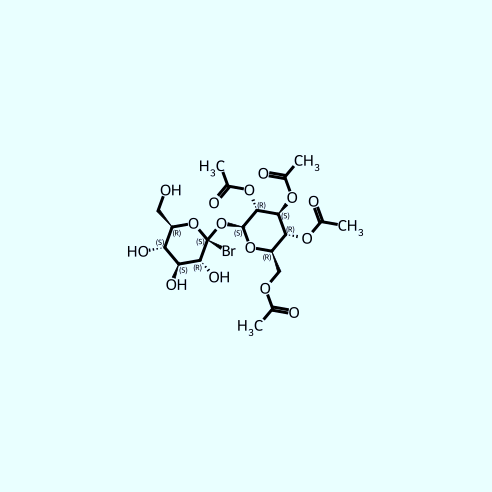 CC(=O)OC[C@H]1O[C@@H](O[C@@]2(Br)O[C@H](CO)[C@@H](O)[C@H](O)[C@H]2O)[C@H](OC(C)=O)[C@@H](OC(C)=O)[C@@H]1OC(C)=O